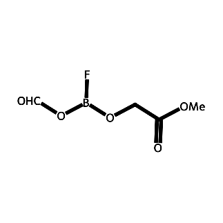 COC(=O)COB(F)OC=O